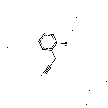 C#CCc1ccccc1Br